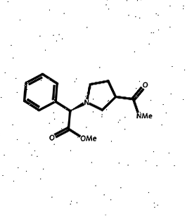 CNC(=O)C1CCN([C@@H](C(=O)OC)c2ccccc2)C1